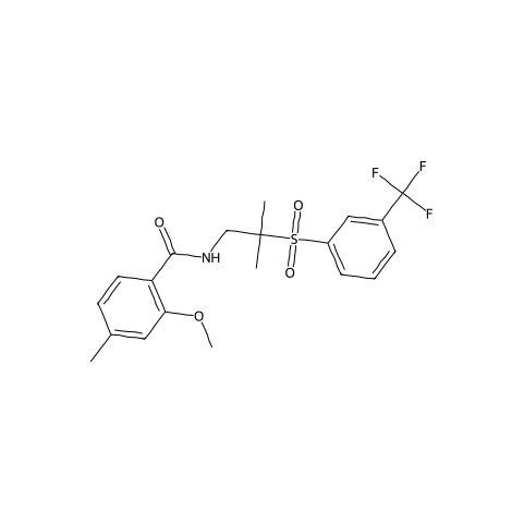 COc1cc(C)ccc1C(=O)NCC(C)(C)S(=O)(=O)c1cccc(C(F)(F)F)c1